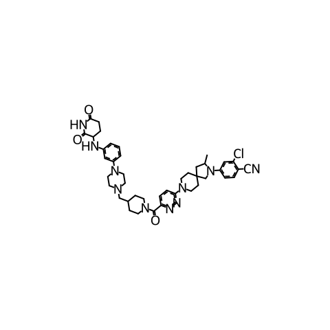 CC1CC2(CCN(c3ccc(C(=O)N4CCC(CN5CCN(c6cccc(NC7CCC(=O)NC7=O)c6)CC5)CC4)nn3)CC2)CN1c1ccc(C#N)c(Cl)c1